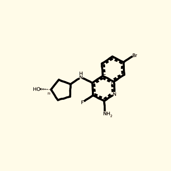 Nc1nc2cc(Br)ccc2c(NC2CC[C@H](O)C2)c1F